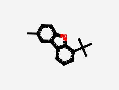 Cc1ccc2oc3c(C(C)(C)C)cccc3c2c1